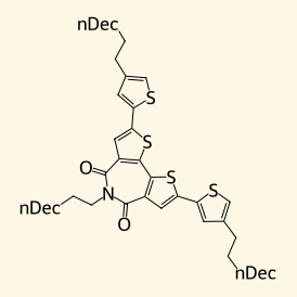 CCCCCCCCCCCCc1csc(-c2cc3c(=O)n(CCCCCCCCCCCC)c(=O)c4cc(-c5cc(CCCCCCCCCCCC)cs5)sc4c3s2)c1